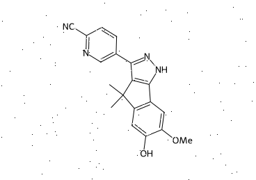 COc1cc2c(cc1O)C(C)(C)c1c(-c3ccc(C#N)nc3)n[nH]c1-2